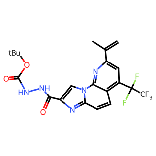 C=C(C)c1cc(C(F)(F)C(F)(F)F)c2ccc3nc(C(=O)NNC(=O)OC(C)(C)C)cn3c2n1